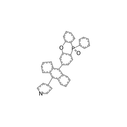 O=P1(c2ccccc2)c2ccccc2Oc2cc(-c3c4ccccc4c(-c4ccncc4)c4ccccc34)ccc21